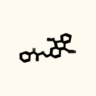 COc1c2ccccc2c(OC)c2cc(COC(=O)Nc3ccccc3)ccc12